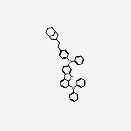 c1ccc(N(c2ccc(CCC3CC4CCCC(C4)C3)cc2)c2ccc3c(c2)oc2c(N(c4ccccc4)c4ccccc4)cccc23)cc1